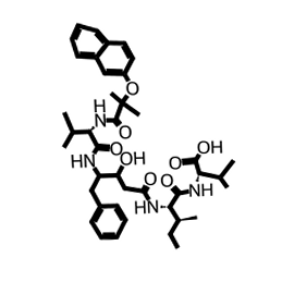 CC[C@H](C)[C@H](NC(=O)CC(O)C(Cc1ccccc1)NC(=O)[C@@H](NC(=O)C(C)(C)Oc1ccc2ccccc2c1)C(C)C)C(=O)N[C@H](C(=O)O)C(C)C